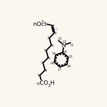 CCCCCCCC/C=C\CCCCCCCC(=O)O.CN(C)c1ccccc1